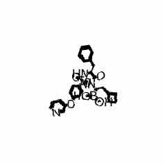 O=C(N[C@@H](CC1CCC1)B(O)O)[C@H](Cc1ccccc1)NS(=O)(=O)c1ccc(Oc2cccnc2)cc1